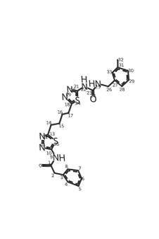 C=C(Cc1ccccc1)Nc1nnc(CCCCc2nnc(NC(=O)NCc3cccc(C)c3)s2)s1